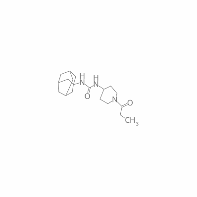 CCC(=O)N1CCC(NC(=O)NC23CC4CC(CC(C4)C2)C3)CC1